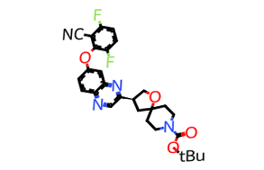 CC(C)(C)OC(=O)N1CCC2(CC1)C[C@@H](c1cnc3ccc(Oc4c(F)ccc(F)c4C#N)cc3n1)CO2